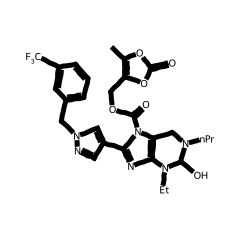 CCCN1Cc2c(nc(-c3cnn(Cc4cccc(C(F)(F)F)c4)c3)n2C(=O)OCc2oc(=O)oc2C)N(CC)C1O